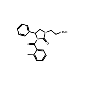 COCCN1CC(c2ccccc2)N(C(=O)c2ccccc2C)C1=O